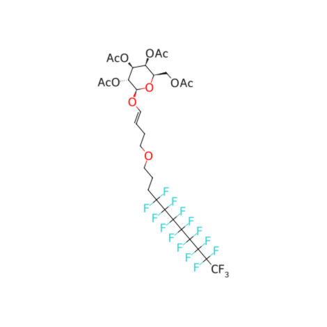 CC(=O)OC[C@H]1O[C@@H](OC=CCCOCCCC(F)(F)C(F)(F)C(F)(F)C(F)(F)C(F)(F)C(F)(F)C(F)(F)C(F)(F)F)[C@H](OC(C)=O)[C@@H](OC(C)=O)[C@H]1OC(C)=O